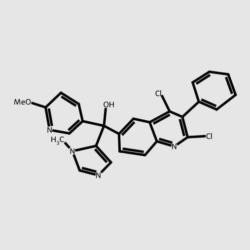 COc1ccc(C(O)(c2ccc3nc(Cl)c(-c4ccccc4)c(Cl)c3c2)c2cncn2C)cn1